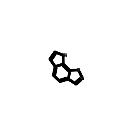 c1cc2ccc3cnoc3c2[nH]1